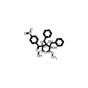 CO[C@H]1O[C@H](CO)[C@](O)(C(=O)c2ccc([N+](=O)[O-])cc2)[C@@](O)(Cc2ccccc2)[C@]1(O)Cc1ccccc1